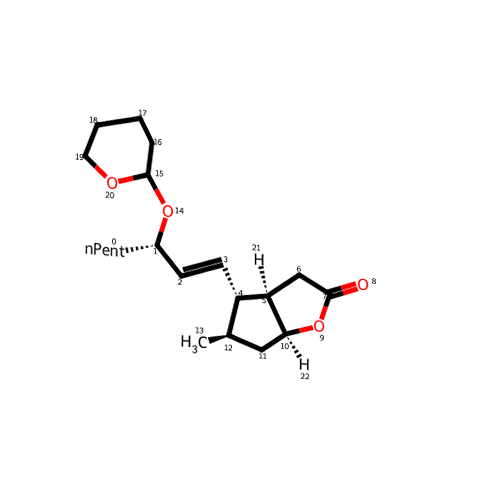 CCCCC[C@@H](/C=C/[C@@H]1[C@H]2CC(=O)O[C@H]2C[C@H]1C)OC1CCCCO1